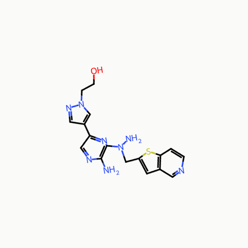 Nc1ncc(-c2cnn(CCO)c2)nc1N(N)Cc1cc2cnccc2s1